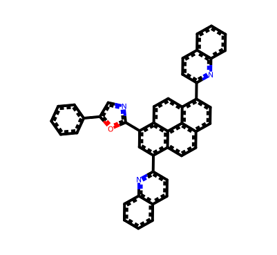 c1ccc(-c2cnc(-c3cc(-c4ccc5ccccc5n4)c4ccc5ccc(-c6ccc7ccccc7n6)c6ccc3c4c56)o2)cc1